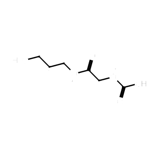 CCCCOC(=O)COC(C)=O